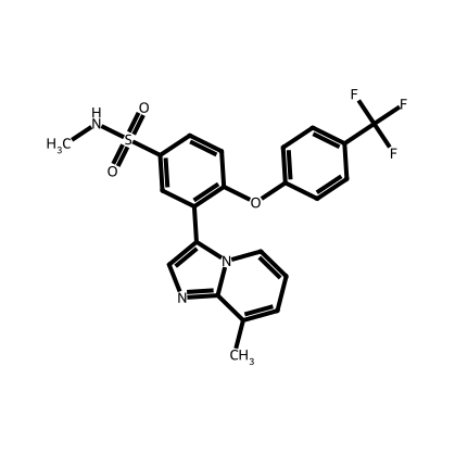 CNS(=O)(=O)c1ccc(Oc2ccc(C(F)(F)F)cc2)c(-c2cnc3c(C)cccn23)c1